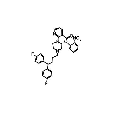 O=C(Oc1ccccc1[N+](=O)[O-])c1cccnc1N1CCN(CCCC(c2ccc(F)cc2)c2ccc(F)cc2)CC1